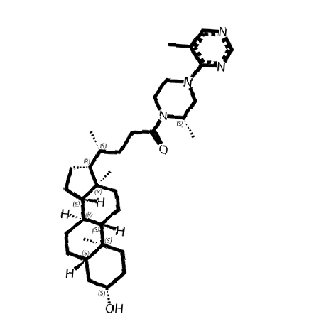 Cc1cncnc1N1CCN(C(=O)CC[C@@H](C)[C@H]2CC[C@H]3[C@@H]4CC[C@H]5C[C@@H](O)CC[C@]5(C)[C@H]4CC[C@]23C)[C@@H](C)C1